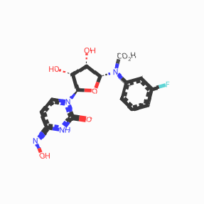 O=C(O)N(c1cccc(F)c1)[C@@H]1O[C@@H](n2cc/c(=N/O)[nH]c2=O)[C@H](O)[C@@H]1O